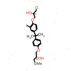 COC[C@@H](O)COc1ccc(C(C)(C)c2ccc(OC[C@@H](O)CCl)c(I)c2)cc1